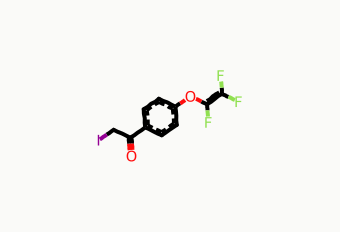 O=C(CI)c1ccc(OC(F)=C(F)F)cc1